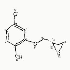 N#Cc1ccc(Cl)cc1OC[C@@H]1CO1